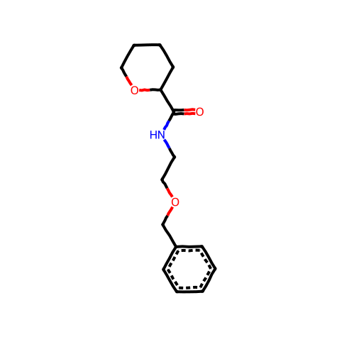 O=C(NCCOCc1ccccc1)C1CCCCO1